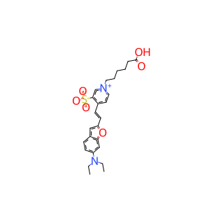 CCN(CC)c1ccc2cc(/C=C/c3cc[n+](CCCCCC(=O)O)cc3S(=O)(=O)[O-])oc2c1